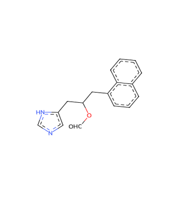 O=COC(Cc1cnc[nH]1)Cc1cccc2ccccc12